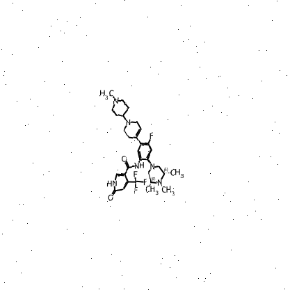 C[C@@H]1CN(c2cc(F)c(C3=CCN(C4CCN(C)CC4)CC3)cc2NC(=O)c2c[nH]c(=O)cc2C(F)(F)F)C[C@H](C)N1C